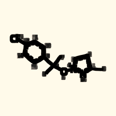 Cc1ccn(OC(C)(C)c2ccc(Cl)cc2)n1